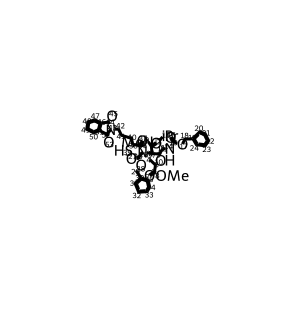 CNC(=O)[C@@](CCC(=O)OC)(C(=O)[C@H](CC(C)C)NC(=O)OCc1ccccc1)N(C(=O)OCc1ccccc1)C(=O)C(S)CCCN1C(=O)c2ccccc2C1=O